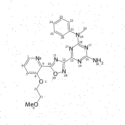 COCCOc1cccnc1-c1nc(-c2nc(N)nc(N(C)c3ccccc3)n2)no1